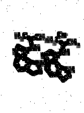 CC(C)Nn1cnc2ccc3c(c21)NSC3.CC(C)Nn1cnc2ccc3c(c21)NSC3.[Cu]